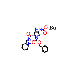 CC(C)(C)OC(=O)N[C@@H]1C[C@@H](C(=O)NCC2CCCCC2)N(C(=O)OCc2ccccc2)C1